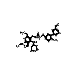 CCc1nc2c(cnn2CC)c(NC2CCOCC2)c1CNC(=O)NCc1ccc(C)c(-c2cccc(C=O)c2)c1